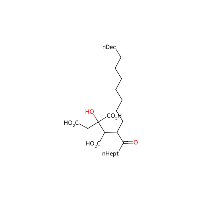 CCCCCCCCCCCCCCCCCC(C(=O)CCCCCCC)C(C(=O)O)C(O)(CC(=O)O)C(=O)O